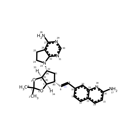 CC1(C)O[C@@H]2[C@H](O1)[C@@H](/C=C/c1ccc3ccc(N)nc3c1)C[C@H]2N1CCc2c(N)ncnc21